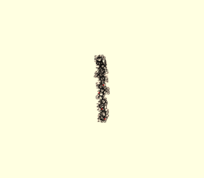 Cc1cc2c(cc1-c1ccc3cc(-c4ccc5ccccc5c4)ccc3c1)C(C)(C)c1cc(-c3ccc4c(c3)C(C)(C)c3cc(-c5nc6ccccc6s5)ccc3-4)ccc1-2